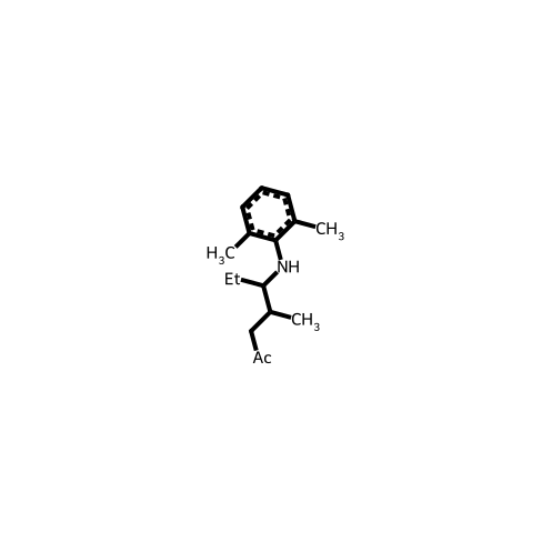 CCC(Nc1c(C)cccc1C)C(C)CC(C)=O